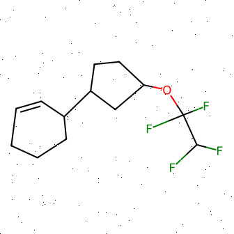 FC(F)C(F)(F)OC1CCC([C]2C=CCCC2)C1